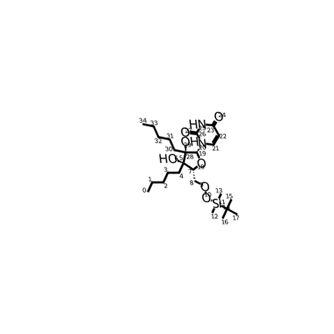 CCCCC[C@@]1(O)[C@@H](COO[Si](C)(C)C(C)(C)C)O[C@@H](n2ccc(=O)[nH]c2=O)[C@@]1(O)CCCCC